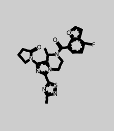 Cc1nsc(-c2nc(N3CCCC3=O)c3n2CCN(C(=O)c2ccc(F)c4ccoc24)C3C)n1